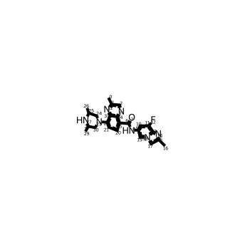 Cc1cnc2c(C(=O)Nc3cc(F)c4nc(C)cn4c3)ccc(N3CC(C)NC(C)C3)c2n1